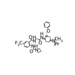 CC(C)N(C)[C@@H]1CC[C@H](NC(=O)CNC(=O)c2cc(C(F)(F)F)ccc2NC(=O)N2CCC2)[C@H](COc2ccccc2)C1